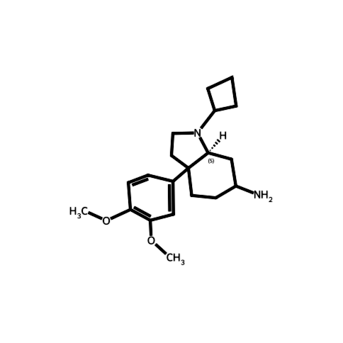 COc1ccc(C23CCC(N)C[C@@H]2N(C2CCC2)CC3)cc1OC